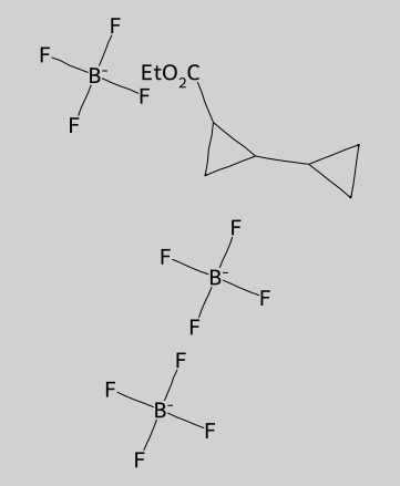 CCOC(=O)C1CC1C1CC1.F[B-](F)(F)F.F[B-](F)(F)F.F[B-](F)(F)F